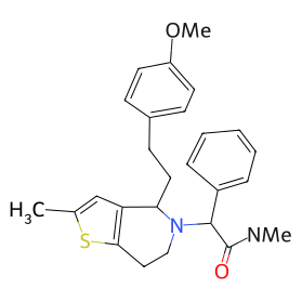 CNC(=O)C(c1ccccc1)N1CCc2sc(C)cc2C1CCc1ccc(OC)cc1